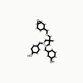 CC(COCC1CCC(O)CC1)(COCC1CCCC(O)C1)COCC1CCC2OC2C1